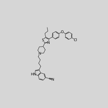 CCCc1sc(C2CCN(CCCCc3c[nH]c4ccc(C#N)cc34)CC2)nc1-c1ccc(Oc2ccc(Cl)cc2)cc1